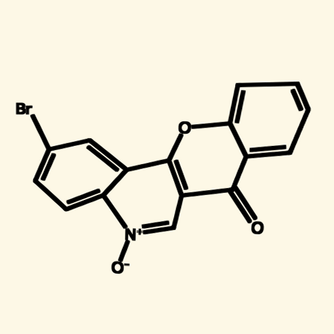 O=c1c2ccccc2oc2c1c[n+]([O-])c1ccc(Br)cc21